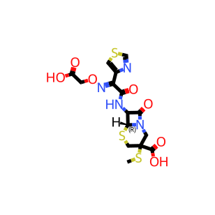 CSC1(C(=O)O)CS[C@@H]2C(NC(=O)C(=NOCC(=O)O)c3cscn3)C(=O)N2C1